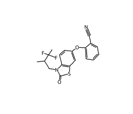 CC(Cn1c(=O)sc2cc(Oc3ccccc3C#N)ccc21)C(C)(F)F